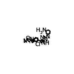 CN(C)C(=O)Cn1cc2c(Cl)c(-c3c[nH]c4nc(N(C)[C@@H]5CCC[C@@H](N)C5)cnc34)ccc2n1